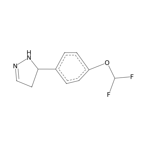 FC(F)Oc1ccc(C2CC=NN2)cc1